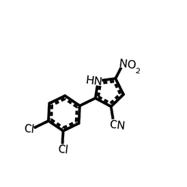 N#Cc1cc([N+](=O)[O-])[nH]c1-c1ccc(Cl)c(Cl)c1